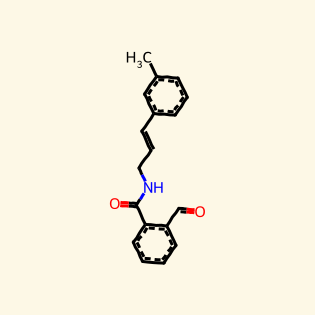 Cc1cccc(/C=C/CNC(=O)c2ccccc2C=O)c1